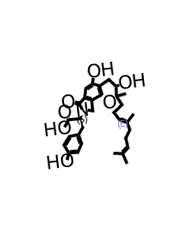 CC(C)=CCC/C(C)=C/CCC1(C)Oc2c(c(O)cc3c2CN([C@@H](Cc2ccc(O)cc2)C(=O)O)C3=O)CC1O